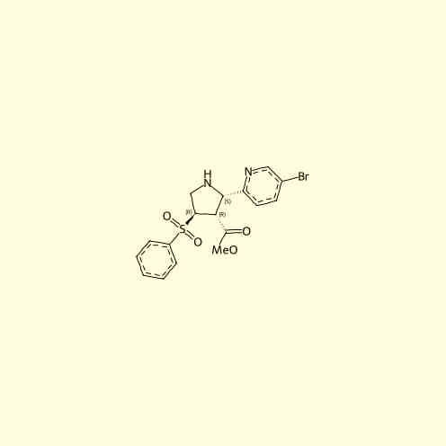 COC(=O)[C@H]1[C@@H](c2ccc(Br)cn2)NC[C@@H]1S(=O)(=O)c1ccccc1